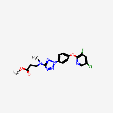 COC(=O)CCN(C)c1nnn(-c2ccc(Oc3ncc(Cl)cc3F)cc2)n1